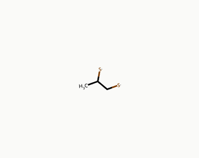 CC([S])C[S]